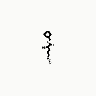 [N-]=[N+]=NCCCC(=N)C(=O)OCc1ccccc1